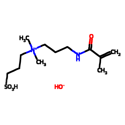 C=C(C)C(=O)NCCC[N+](C)(C)CCCS(=O)(=O)O.[OH-]